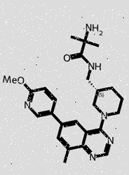 COc1ccc(-c2cc(C)c3ncnc(N4CCC[C@@H](CNC(=O)C(C)(C)N)C4)c3c2)cn1